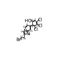 Oc1cc(Cl)c(Cl)c(Cl)c1-c1ccn2cc(CCBr)nc2c1